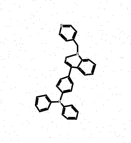 b1ccc(CN2CC=C(c3ccc(N(c4ccccc4)c4ccccc4)cc3)c3ccccc32)cc1